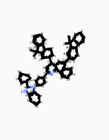 CC1(C)c2ccccc2-c2ccc(-c3cc4c(-c5ccc6c(c5)C(C)(C)c5ccccc5-6)cc(-c5ccc(N6c7ccccc7NC6c6ccccc6)cc5)nc4c4ccccc34)cc21